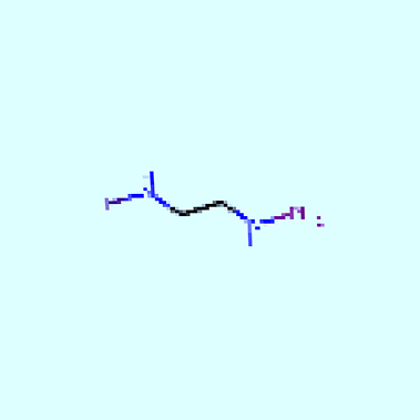 PNCCNI